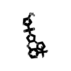 Cn1cnc(S(=O)(=O)N2C[C@@H](N3CCCC3)[C@H](Oc3cc(C(F)(F)F)ncn3)C2)c1